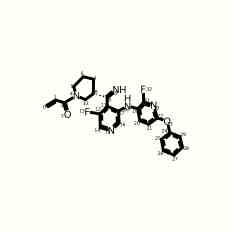 C=CC(=O)N1CCC[C@H](C(=N)c2c(F)cncc2Nc2ccc(Oc3ccccc3)nc2F)C1